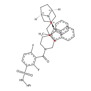 CCCNS(=O)(=O)c1ccc(F)c(C(=O)N2CCC(CCN3[C@@H]4CC[C@H]3C[C@@H](n3c(C)nc5ccccc53)C4)(c3ccccc3)CC2)c1F